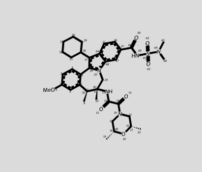 COc1ccc2c(c1)[C@H](C)[C@@](C)(NC(=O)C(=O)N1C[C@@H](C)O[C@@H](C)C1)Cn1c-2c(C2CCCCC2)c2ccc(C(=O)NS(=O)(=O)N(C)C)cc21